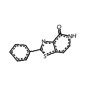 O=c1[nH]ccc2sc(-c3ccccc3)nc12